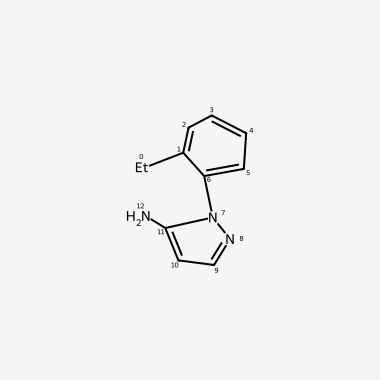 CCc1ccccc1-n1nccc1N